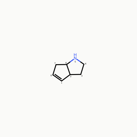 C1=CC2CCNC2C1